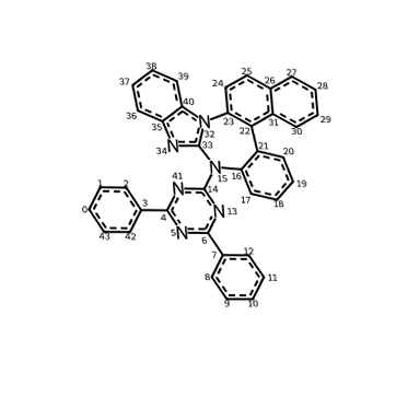 c1ccc(-c2nc(-c3ccccc3)nc(N3c4ccccc4-c4c(ccc5ccccc45)-n4c3nc3ccccc34)n2)cc1